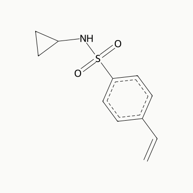 C=Cc1ccc(S(=O)(=O)NC2CC2)cc1